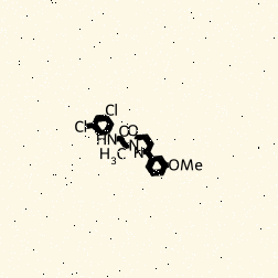 COc1cccc(-c2ccc(=O)n(C(C)C(=O)Nc3cc(Cl)cc(Cl)c3)n2)c1